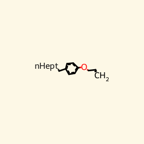 C=CCOc1ccc(CCCCCCCC)cc1